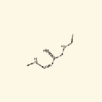 CCNCC(=N)/C=C\NC